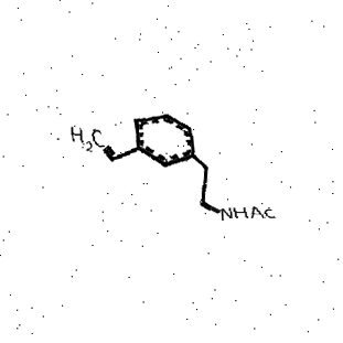 C=Cc1cccc(CCNC(C)=O)c1